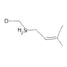 CC(C)=CC[SiH2]CCl